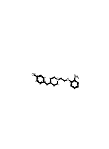 Nc1ccccc1OCCN1CCC(Cc2ccc(Cl)cc2)CC1